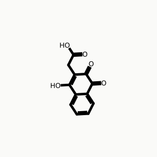 O=C(O)CC1=C(O)c2ccccc2C(=O)C1=O